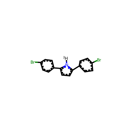 [2H]n1c(-c2ccc(Br)cc2)ccc1-c1ccc(Br)cc1